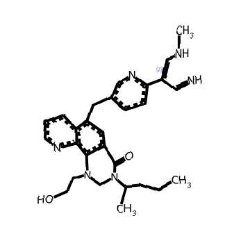 CCCC(C)N1CN(CCO)c2c(cc(Cc3ccc(/C(C=N)=C/NC)nc3)c3cccnc23)C1=O